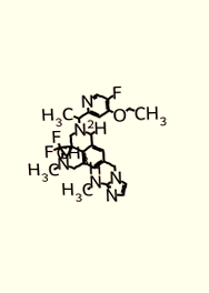 [2H]C1c2cc(Cn3ccnc3NC)cc(CN(C)C)c2C2(CN1C(C)c1cc(OCC)c(F)cn1)CC2(F)F